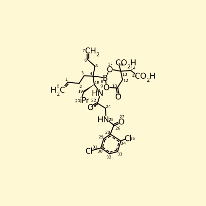 C=CCCC(CC=C)(B1OC(=O)CC(CC(=O)O)(C(=O)O)O1)[C@H](CC(C)C)NC(=O)CNC(=O)c1cc(Cl)ccc1Cl